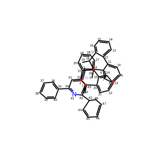 C=C(/C=C\C1(C)c2ccccc2-c2ccccc2C1C)c1ccccc1-c1ccccc1-c1cc(-c2ccccc2)nc(C2C=CC=CC2)c1